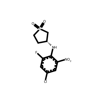 O=[N+]([O-])c1cc(Cl)cc(F)c1N[C@@H]1CCS(=O)(=O)C1